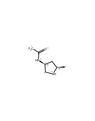 C[C@@H]1C[C@H](NC(=O)C(F)(F)F)CN1